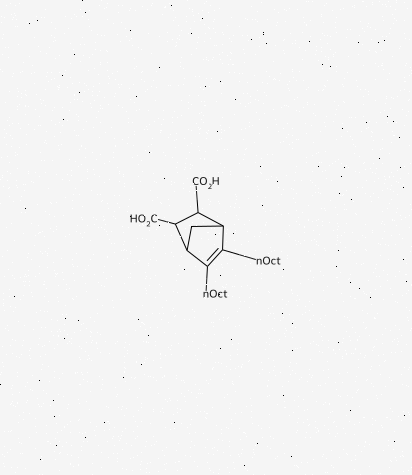 CCCCCCCCC1=C(CCCCCCCC)C2CC1C(C(=O)O)C2C(=O)O